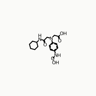 O=C(O)CN(CC(=O)NC1CCCCC1)c1ccc(NOO)cc1